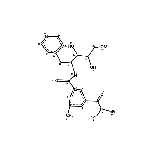 CCCN(CCC)C(=O)c1cc(C)cc(C(=O)NC(Cc2ccncc2)C(O)C(O)COC)c1